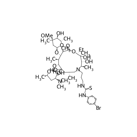 CC[C@H]1OC(=O)[C@H](C)[C@@H](O[C@H]2C[C@@](C)(OC)[C@@H](O)[C@H](C)O2)[C@H](C)[C@@H](O[C@@H]2O[C@H](C)C[C@H](N(C)C)[C@H]2O)[C@](C)(O)C[C@@H](C)CN(CCCNC(=S)Nc2ccc(Br)cc2)[C@H](C)[C@@H](O)[C@]1(C)O